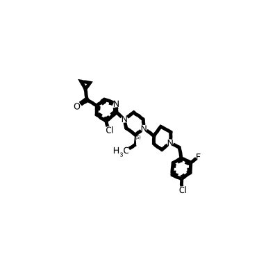 CC[C@H]1CN(c2ncc(C(=O)C3CC3)cc2Cl)CCN1C1CCN(Cc2ccc(Cl)cc2F)CC1